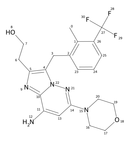 Cc1c(Cc2c(CCO)nc3c(N)cc(N4CCOCC4)nn23)cccc1C(F)(F)F